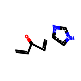 C=CC(=O)C=C.c1c[nH]cn1